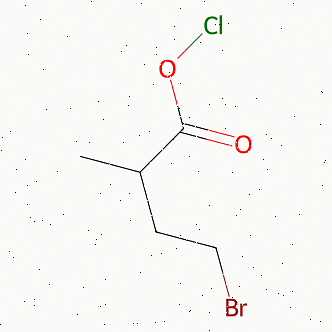 CC(CCBr)C(=O)OCl